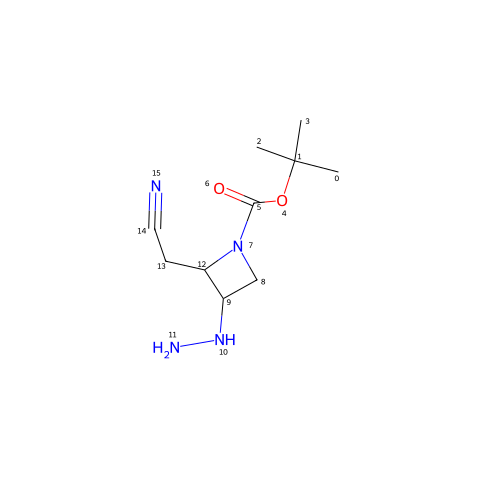 CC(C)(C)OC(=O)N1CC(NN)C1CC#N